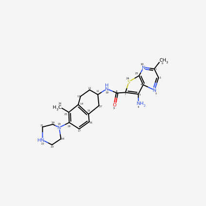 Cc1cnc2c(N)c(C(=O)NC3CCc4c(ccc(N5CCNCC5)c4C)C3)sc2n1